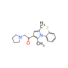 Cc1cc(C(=O)CN2CCCC2)c(C)n1-c1ccccc1F